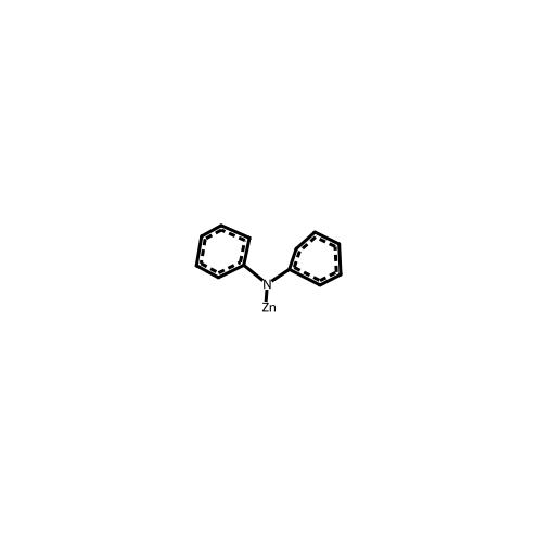 [Zn][N](c1ccccc1)c1ccccc1